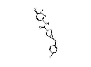 Cn1nc(NC(=O)N2CC3C(Cc4ccc(F)cc4)C3C2)ccc1=O